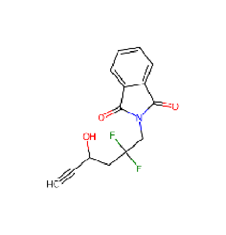 C#CC(O)CC(F)(F)CN1C(=O)c2ccccc2C1=O